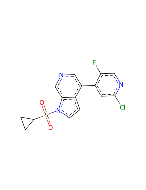 O=S(=O)(C1CC1)n1ccc2c(-c3cc(Cl)ncc3F)cncc21